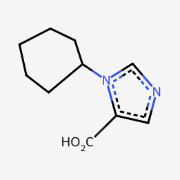 O=C(O)c1cncn1C1CCCCC1